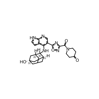 O=C1CCN(C(=O)c2noc(-c3cnc4[nH]ccc4c3N[C@H]3[C@@H]4CC5C[C@H]3C[C@@](O)(C5)C4)n2)CC1